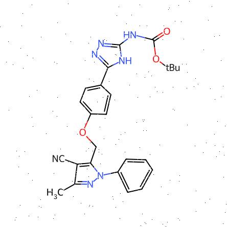 Cc1nn(-c2ccccc2)c(COc2ccc(-c3nnc(NC(=O)OC(C)(C)C)[nH]3)cc2)c1C#N